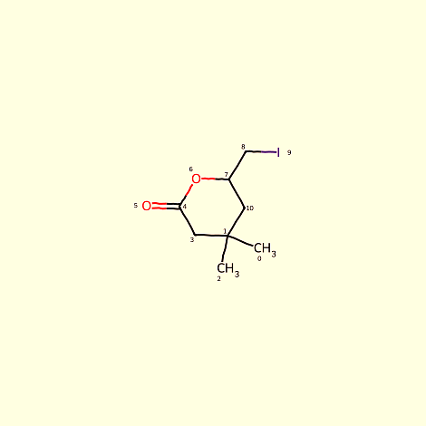 CC1(C)CC(=O)OC(CI)C1